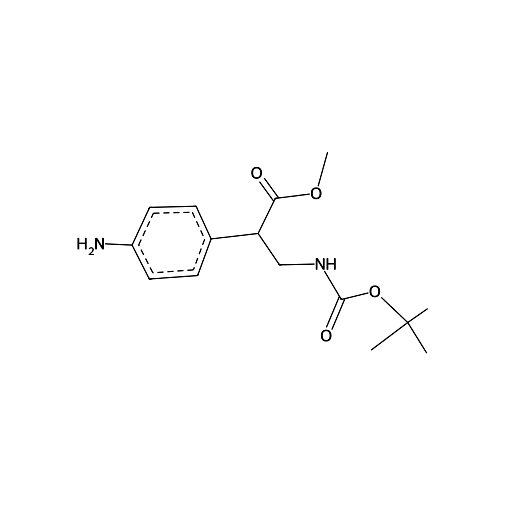 COC(=O)C(CNC(=O)OC(C)(C)C)c1ccc(N)cc1